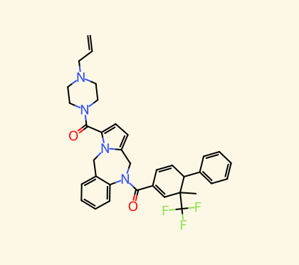 C=CCN1CCN(C(=O)c2ccc3n2Cc2ccccc2N(C(=O)C2=CC(C)(C(F)(F)F)C(c4ccccc4)C=C2)C3)CC1